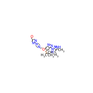 Cc1[nH]nc(Nc2ncnc3cc(OCCN4CCN(c5ncc(C=O)cn5)CC4)c(SC(C)(C)C)cc23)c1C